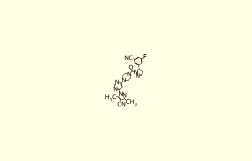 Cc1nn(-c2cc(N3CCN(C(=O)N4N=CCC4c4cc(F)cc(C#N)c4)CC3)ncn2)c(C)c1C#N